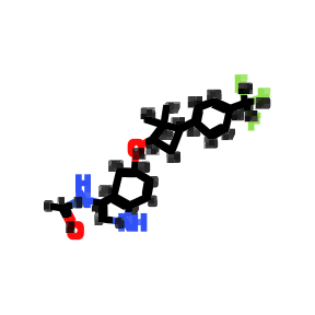 CC(=O)Nc1c[nH]c2ccc(OC3CC(c4ccc(C(F)(F)F)cc4)C3(C)C)cc12